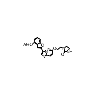 COc1cccc2oc(-c3cnc4ccc(OCCN5CCNC5=O)nn34)cc12